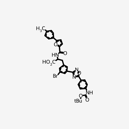 Cc1ccc(-c2ccc(C(=O)NC(Cc3cc(Br)cc(-c4noc(-c5ccc(NC(=O)OC(C)(C)C)cc5)n4)c3)C(=O)O)o2)cc1